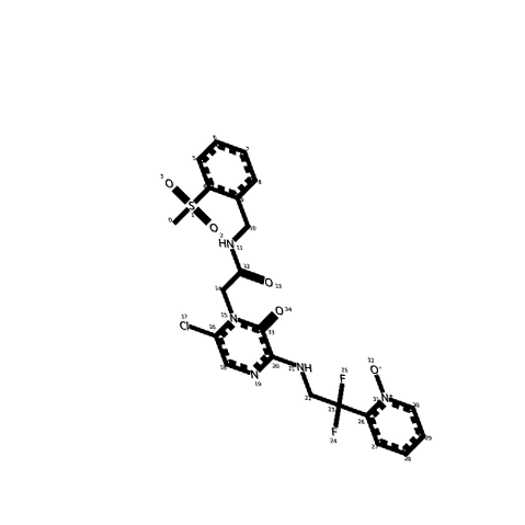 CS(=O)(=O)c1ccccc1CNC(=O)Cn1c(Cl)cnc(NCC(F)(F)c2cccc[n+]2[O-])c1=O